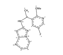 COc1ncc(F)cc1C(C)Nc1cc2ncccn2n1